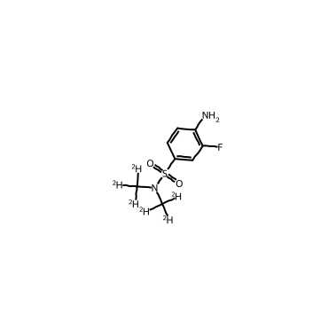 [2H]C([2H])([2H])N(C([2H])([2H])[2H])S(=O)(=O)c1ccc(N)c(F)c1